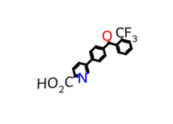 O=C(O)c1ccc(-c2ccc(C(=O)c3ccccc3C(F)(F)F)cc2)cn1